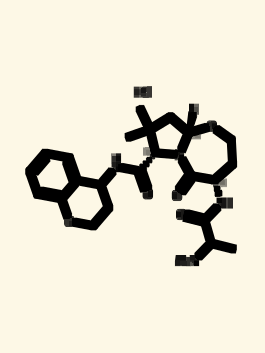 CNC(C)C(=O)N[C@H]1CCO[C@H]2CC(C)(C)[C@@H](C(=O)NC3CCOc4ccccc43)N2C1=O.Cl